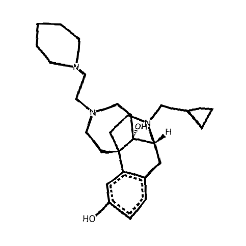 Oc1ccc2c(c1)[C@@]13CCN(CCN4CCCCC4)CC[C@@]1(O)[C@@H](C2)N(CC1CC1)CC3